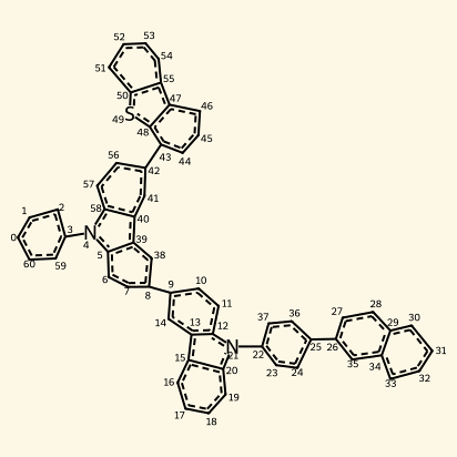 c1ccc(-n2c3ccc(-c4ccc5c(c4)c4ccccc4n5-c4ccc(-c5ccc6ccccc6c5)cc4)cc3c3cc(-c4cccc5c4sc4ccccc45)ccc32)cc1